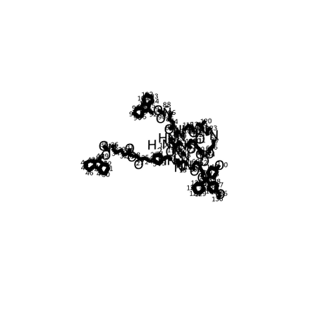 COc1ccc(C(OCC2OC(n3cnc4c(NC(=O)c5ccc(CCC(=O)COC(=O)CCCN(C)C(=O)OCC6c7ccccc7-c7ccccc76)cc5)ncnc43)CC2OP(OCCC#N)OCC2OC(n3cnc4c3N=C(NC(=O)CCCN(C)C(=O)OCC3c5ccccc5-c5ccccc53)NC4N)CC2OP(OCCC#N)N(C(C)C)C(C)C)(c2ccccc2)c2ccc(OC)cc2)cc1